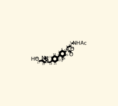 CC(=O)NC[C@H]1CN(c2ccc(-c3ccc(Cn4cc(CO)nn4)cc3)c(F)c2)C(=O)O1